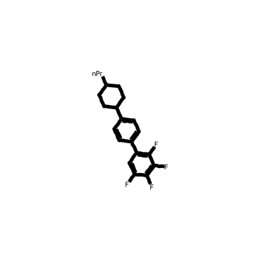 CCCC1CCC(c2ccc(-c3cc(F)c(F)c(F)c3F)cc2)CC1